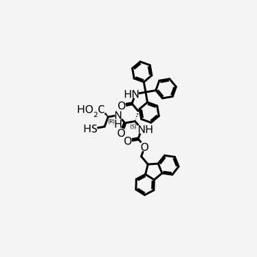 O=C(C[C@H](NC(=O)OCC1c2ccccc2-c2ccccc21)C(=O)N[C@@H](CS)C(=O)O)NC(c1ccccc1)(c1ccccc1)c1ccccc1